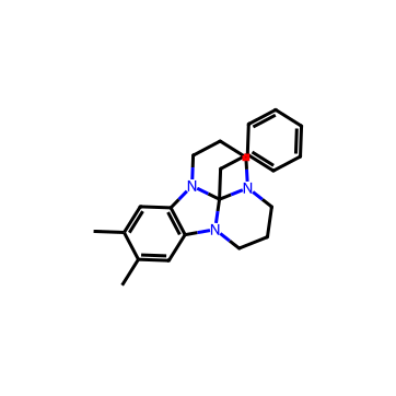 Cc1cc2c(cc1C)N1CCCN3CCCN2C31Cc1ccccc1